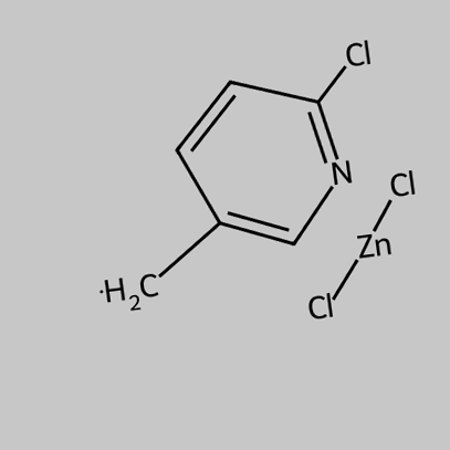 [CH2]c1ccc(Cl)nc1.[Cl][Zn][Cl]